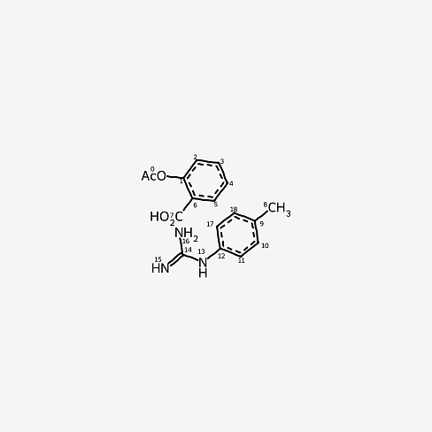 CC(=O)Oc1ccccc1C(=O)O.Cc1ccc(NC(=N)N)cc1